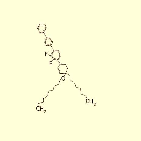 CCCCCCCCCCOC1(CCCCCCCC)C=CC(c2ccc(-c3ccc(-c4ccccc4)cc3)c(F)c2F)=CC1